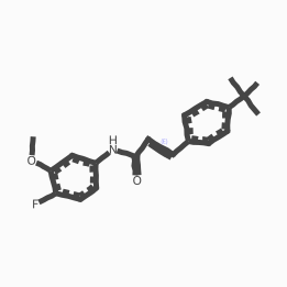 COc1cc(NC(=O)/C=C/c2ccc(C(C)(C)C)cc2)ccc1F